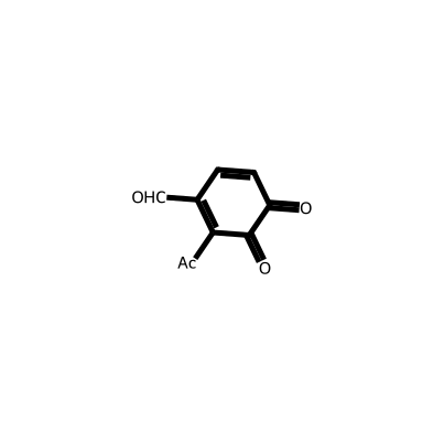 CC(=O)C1=C(C=O)C=CC(=O)C1=O